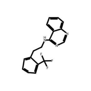 FC(F)(F)c1ccccc1CCNc1ncnc2ccccc12